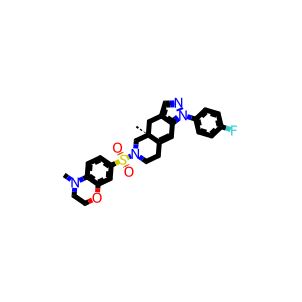 CN1CCOc2cc(S(=O)(=O)N3CCC4=Cc5c(cnn5-c5ccc(F)cc5)C[C@]4(C)C3)ccc21